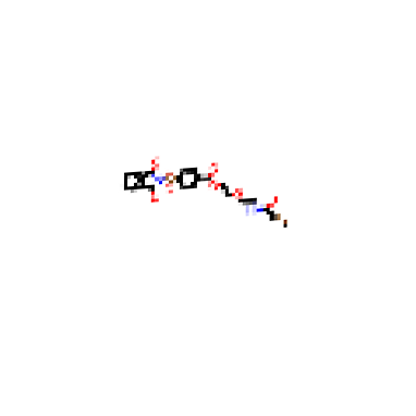 CSCC(=O)NCCOCCOC(=O)C1=CCC(S(=O)(=O)N2C(=O)C3C4C=CC(C4)C3C2=O)C=C1